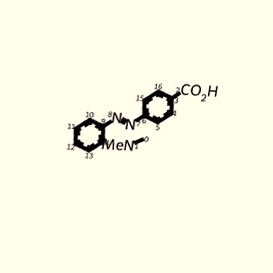 CNC.O=C(O)c1ccc(N=Nc2ccccc2)cc1